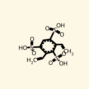 C=Cc1c(S(=O)(=O)O)cc(S(=O)(=O)O)c(C=C)c1S(=O)(=O)O